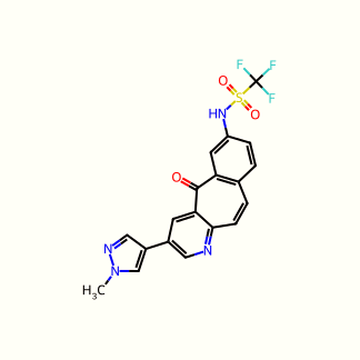 Cn1cc(-c2cnc3ccc4ccc(NS(=O)(=O)C(F)(F)F)cc4c(=O)c3c2)cn1